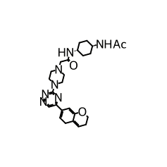 CC(=O)N[C@H]1CC[C@H](NC(=O)CN2CCN(c3nncc(C4=CCC5=CCCOC5=C4)n3)CC2)CC1